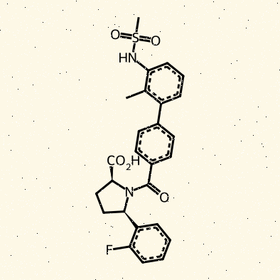 Cc1c(NS(C)(=O)=O)cccc1-c1ccc(C(=O)N2[C@@H](c3ccccc3F)CC[C@H]2C(=O)O)cc1